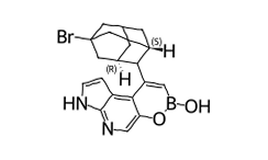 OB1C=C(C2[C@@H]3CC4C[C@H]2CC(Br)(C4)C3)c2c(cnc3[nH]ccc23)O1